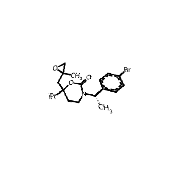 CC(C)C1(CC2(C)CO2)CCN([C@@H](C)c2ccc(Br)cc2)C(=O)O1